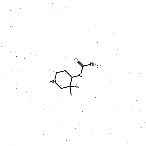 CC1(C)CNCCC1OC(N)=O